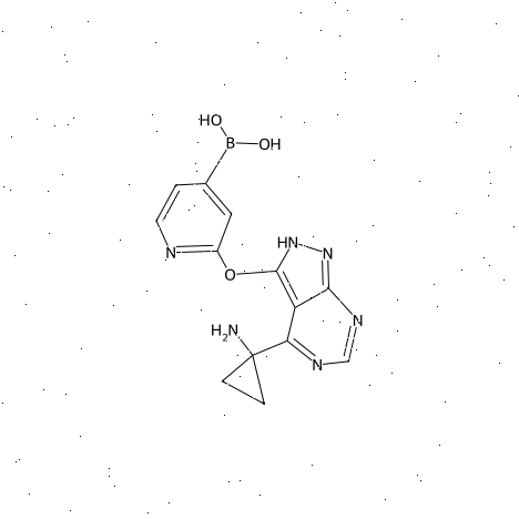 NC1(c2ncnc3n[nH]c(Oc4cc(B(O)O)ccn4)c23)CC1